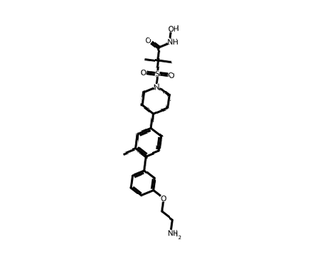 Cc1cc(C2CCN(S(=O)(=O)C(C)(C)C(=O)NO)CC2)ccc1-c1cccc(OCCN)c1